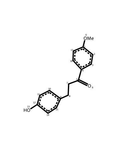 COc1ccc(C(=O)CCc2ccc(O)cc2)cc1